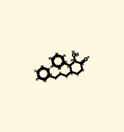 O=C1CCC(CCCc2ccccc2)C(c2ccccc2)N1O